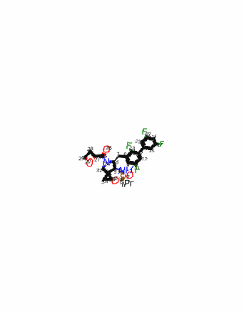 CC(C)S(=O)(=O)N[C@@H]1[C@H](Cc2cc(F)cc(-c3cc(F)cc(F)c3)c2F)N(C(=O)C2CCO2)CC12CC2